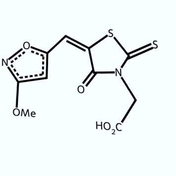 COc1cc(C=C2SC(=S)N(CC(=O)O)C2=O)on1